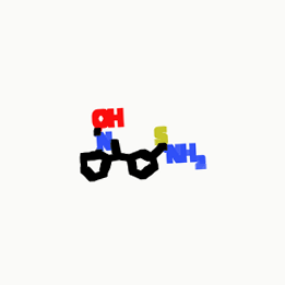 NC(=S)c1cccc(-c2cn(CO)c3ccccc23)c1